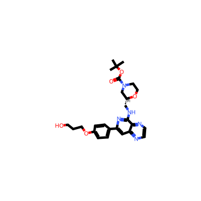 CC(C)(C)OC(=O)N1CCO[C@H](CNc2nc(-c3ccc(OCCCO)cc3)cc3nccnc23)C1